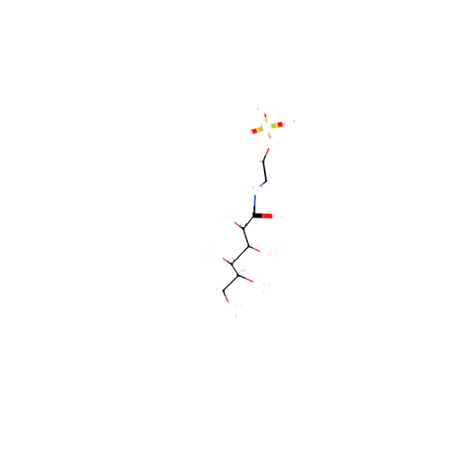 O=C(NCCOS(=O)(=O)O)C(O)C(O)C(O)C(O)CO